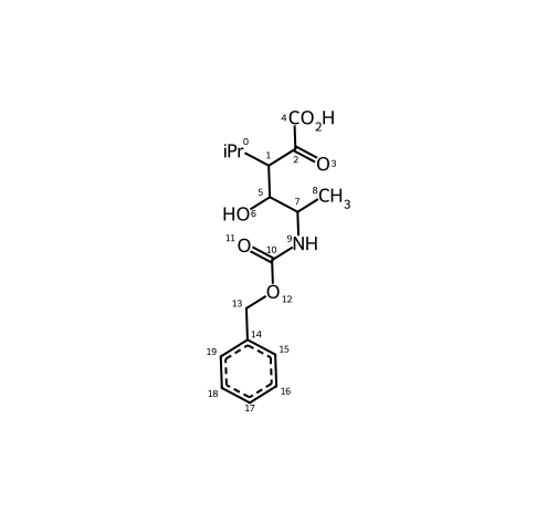 CC(C)C(C(=O)C(=O)O)C(O)C(C)NC(=O)OCc1ccccc1